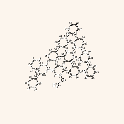 COc1cc(-c2cc3ccccc3c(-c3ccccc3)n2)ccc1-c1ccccc1-c1cc(-c2ccccc2-c2ccc(-c3ccccn3)cc2)cc(-c2ccccc2-c2ccc(-c3ccccn3)cc2)c1